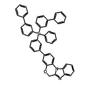 c1ccc(-c2cccc([Si](c3ccccc3)(c3cccc(-c4ccccc4)c3)c3cccc(-c4ccc5c(c4)OCc4nc6ccccc6n4-5)c3)c2)cc1